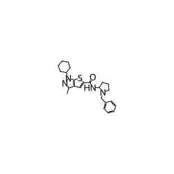 Cc1nn(C2CCCCC2)c2sc(C(=O)NC3CCCN3Cc3ccccc3)cc12